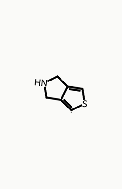 [c]1scc2c1CNC2